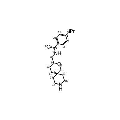 CC(C)c1ccc(C(=O)NCC2CCC3(CCNCC3)CO2)cc1